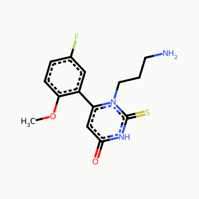 COc1ccc(F)cc1-c1cc(=O)[nH]c(=S)n1CCCN